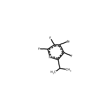 CC(C)c1nc(F)c(F)c(Br)c1F